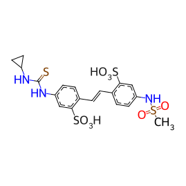 CS(=O)(=O)Nc1ccc(/C=C/c2ccc(NC(=S)NC3CC3)cc2S(=O)(=O)O)c(S(=O)(=O)O)c1